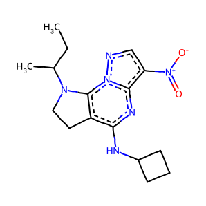 CCC(C)N1CCc2c(NC3CCC3)nc3c([N+](=O)[O-])cnn3c21